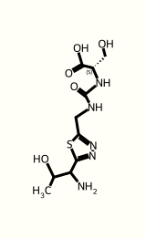 CC(O)C(N)c1nnc(CNC(=O)N[C@@H](CO)C(=O)O)s1